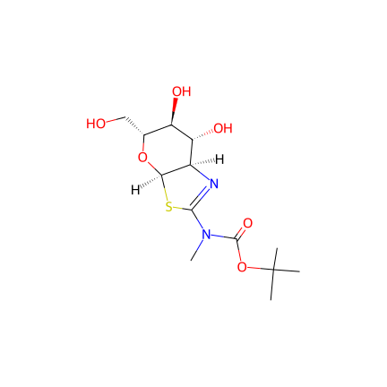 CN(C(=O)OC(C)(C)C)C1=N[C@@H]2[C@@H](O)[C@H](O)[C@@H](CO)O[C@@H]2S1